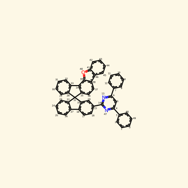 c1ccc(-c2cc(-c3ccccc3)nc(-c3ccc4c(c3)C3(c5ccccc5-4)c4ccccc4-c4c3ccc3c4oc4ccccc43)n2)cc1